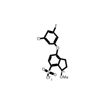 CO[C@@H]1CCc2c(Oc3cc(F)cc(Cl)c3)ccc(S(=O)(=O)C(F)(F)F)c21